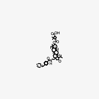 CC(C)C1=C2[C@H]3CC[C@@H]4[C@@]5(C)CC[C@H](OC(=O)[C@H]6C[C@@H](C(=O)O)C6(C)C)C(C)(C)[C@@H]5CC[C@@]4(C)[C@]3(C)CC[C@@]2(CCNC(=O)c2ccc(CN3CCSCC3)cc2)CC1=O